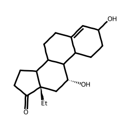 CC[C@]12C[C@@H](O)C3C4CCC(O)C=C4CCC3C1CCC2=O